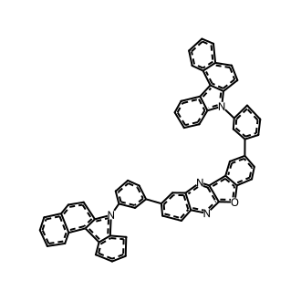 c1cc(-c2ccc3nc4oc5ccc(-c6cccc(-n7c8ccccc8c8c9ccccc9ccc87)c6)cc5c4nc3c2)cc(-n2c3ccccc3c3c4ccccc4ccc32)c1